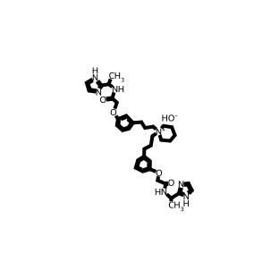 CC(NC(=O)COc1cccc(CCC[N+]2(CCCc3cccc(OCC(=O)NC(C)c4ncc[nH]4)c3)CCCCC2)c1)c1ncc[nH]1.[OH-]